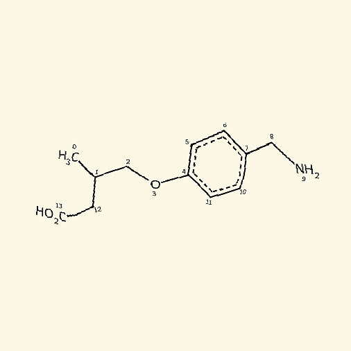 CC(COc1ccc(CN)cc1)CC(=O)O